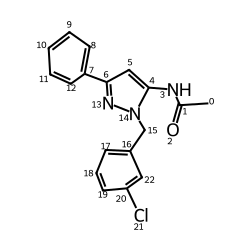 CC(=O)Nc1cc(-c2ccccc2)nn1Cc1cccc(Cl)c1